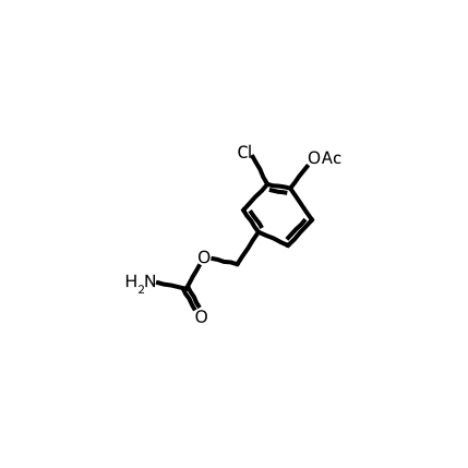 CC(=O)Oc1ccc(COC(N)=O)cc1Cl